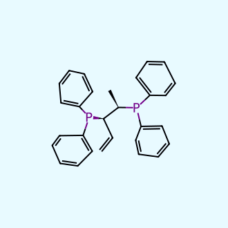 C=C[C@H]([C@@H](C)P(c1ccccc1)c1ccccc1)P(c1ccccc1)c1ccccc1